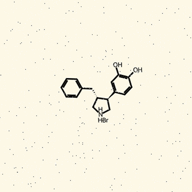 Br.Oc1ccc([C@H]2CNC[C@@H]2Cc2ccccc2)cc1O